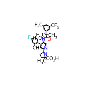 Cc1cc(F)ccc1-c1cc(C2=N[C@@](C)(C(=O)O)CC2)ncc1N(C)C(=O)C(C)(C)c1cc(C(F)(F)F)cc(C(F)(F)F)c1